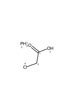 O=C(O)CCl.P